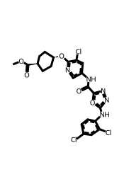 COC(=O)[C@H]1CC[C@H](Oc2ncc(NC(=O)c3nnc(Nc4ccc(Cl)cc4Cl)o3)cc2Cl)CC1